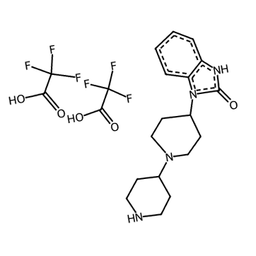 O=C(O)C(F)(F)F.O=C(O)C(F)(F)F.O=c1[nH]c2ccccc2n1C1CCN(C2CCNCC2)CC1